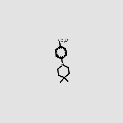 CCOC(=O)c1ccc(N2CCC(C)(C)CC2)cc1